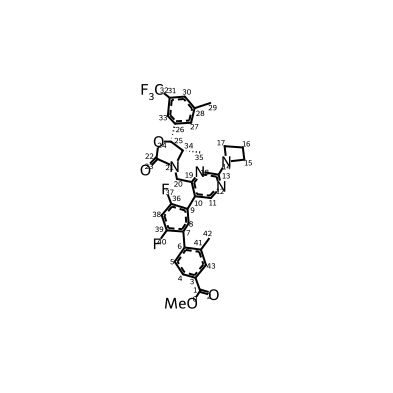 COC(=O)c1ccc(-c2cc(-c3cnc(N4CCC4)nc3CN3C(=O)O[C@H](c4cc(C)cc(C(F)(F)F)c4)[C@@H]3C)c(F)cc2F)c(C)c1